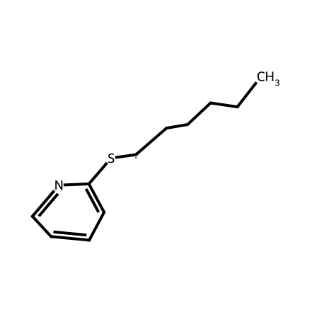 CCCCC[CH]Sc1ccccn1